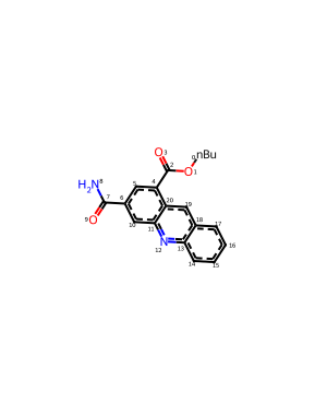 CCCCOC(=O)c1cc(C(N)=O)cc2nc3ccccc3cc12